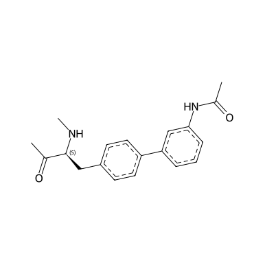 CN[C@@H](Cc1ccc(-c2cccc(NC(C)=O)c2)cc1)C(C)=O